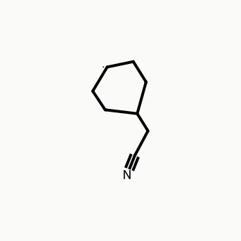 N#CCC1CC[CH]CC1